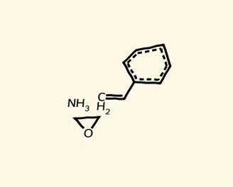 C1CO1.C=Cc1ccccc1.N